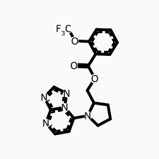 O=C(OCC1CCCN1c1ccnc2ncnn12)c1ccccc1OC(F)(F)F